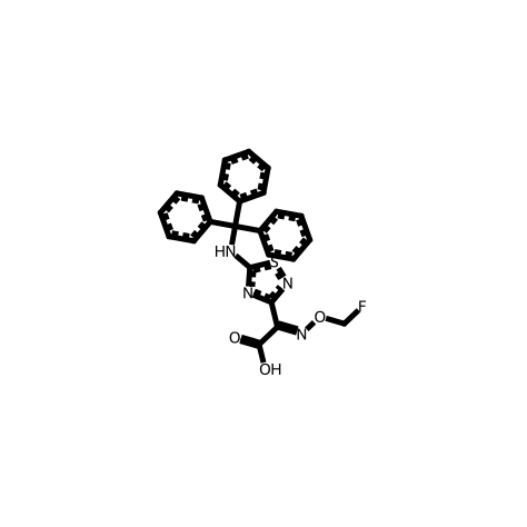 O=C(O)/C(=N/OCF)c1nsc(NC(c2ccccc2)(c2ccccc2)c2ccccc2)n1